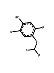 Oc1cc(F)c(OC(F)F)cc1Br